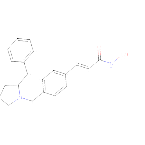 O=C(C=Cc1ccc(CN2CCCC2Cc2ccccc2)cc1)NO